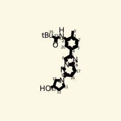 Cc1ccc(-c2cn3nc(N4CCC(O)C4)ccc3n2)cc1NC(=O)C(C)(C)C